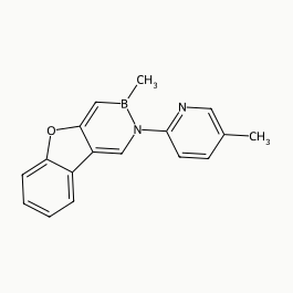 CB1C=c2oc3ccccc3c2=CN1c1ccc(C)cn1